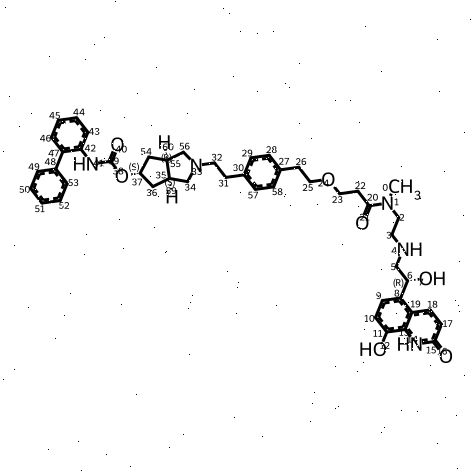 CN(CCNC[C@H](O)c1ccc(O)c2[nH]c(=O)ccc12)C(=O)CCOCCc1ccc(CCN2C[C@H]3C[C@H](OC(=O)Nc4ccccc4-c4ccccc4)C[C@H]3C2)cc1